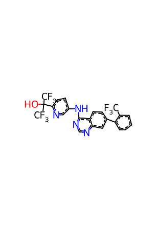 OC(c1ccc(Nc2ncnc3cc(-c4ccccc4C(F)(F)F)ccc23)cn1)(C(F)(F)F)C(F)(F)F